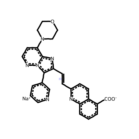 O=C([O-])c1cccc2nc(/C=C/c3nc4c(N5CCOCC5)ccnn4c3-c3cccnc3)ccc12.[Na+]